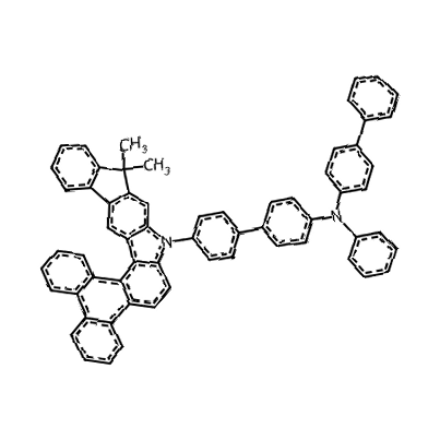 CC1(C)c2ccccc2-c2cc3c4c5c6ccccc6c6ccccc6c5ccc4n(-c4ccc(-c5ccc(N(c6ccccc6)c6ccc(-c7ccccc7)cc6)cc5)cc4)c3cc21